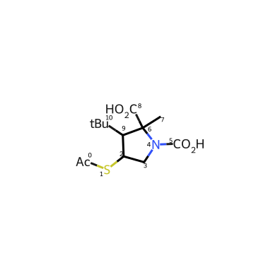 CC(=O)SC1CN(C(=O)O)C(C)(C(=O)O)C1C(C)(C)C